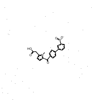 Cn1c(CC(=O)O)ccc1C(=O)c1ccc(-c2cccc([N+](=O)[O-])c2)cc1